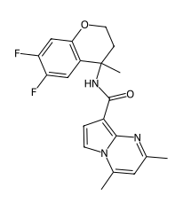 Cc1cc(C)n2ccc(C(=O)NC3(C)CCOc4cc(F)c(F)cc43)c2n1